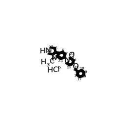 Cl.Cn1c2c(c3ccc(-n4ccc(OCc5ccccc5)cc4=O)cc31)CCNC2